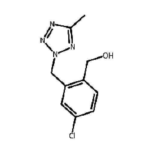 Cc1nnn(Cc2cc(Cl)ccc2CO)n1